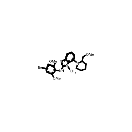 COCC1CCCCN1c1cccc2nc(Nc3c(OC)cc(Br)cc3OC)n(C)c12